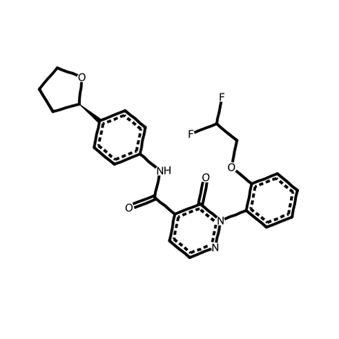 O=C(Nc1ccc([C@H]2CCCO2)cc1)c1ccnn(-c2ccccc2OCC(F)F)c1=O